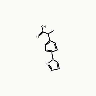 CC(C(=O)O)c1ccc(-n2cccn2)cc1